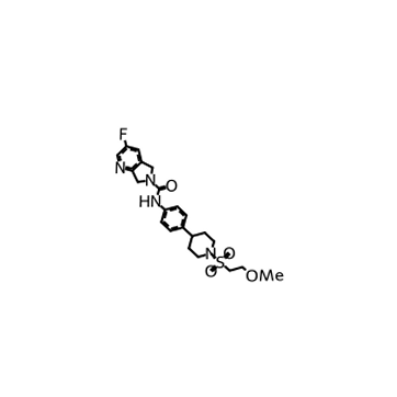 COCCS(=O)(=O)N1CCC(c2ccc(NC(=O)N3Cc4cc(F)cnc4C3)cc2)CC1